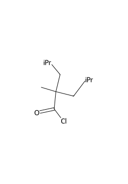 CC(C)CC(C)(CC(C)C)C(=O)Cl